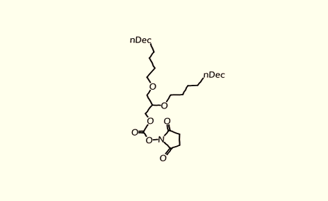 CCCCCCCCCCCCCCOCC(COC(=O)ON1C(=O)CCC1=O)OCCCCCCCCCCCCCC